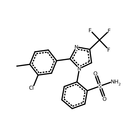 Cc1ccc(-c2nc(C(F)(F)F)cn2-c2ccccc2S(N)(=O)=O)cc1Cl